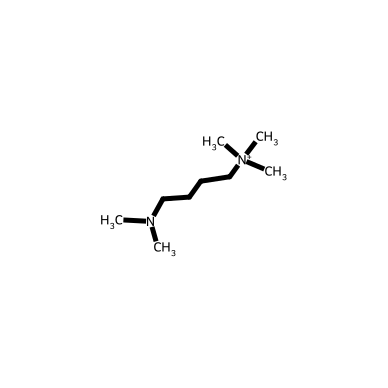 CN(C)CCCC[N+](C)(C)C